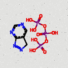 O=P(O)(O)OP(=O)(O)OP(=O)(O)O.c1ncc2c(n1)N=NC2